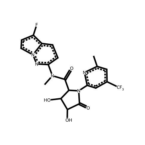 Cc1cc(C(F)(F)F)cc(N2C(=O)C(O)C(O)C2C(=O)N(C)c2ccc3c(F)ccn3n2)n1